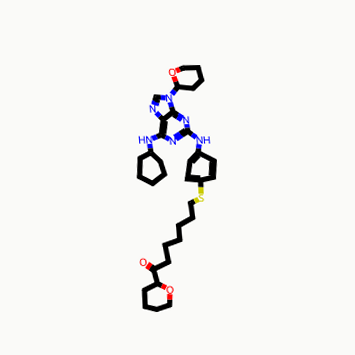 O=C(CCCCCCSc1ccc(Nc2nc(NC3CCCCC3)c3ncn(C4CCCCO4)c3n2)cc1)C1CCCCO1